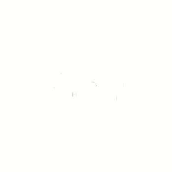 CC(C)(C)CCNCC(F)(F)F